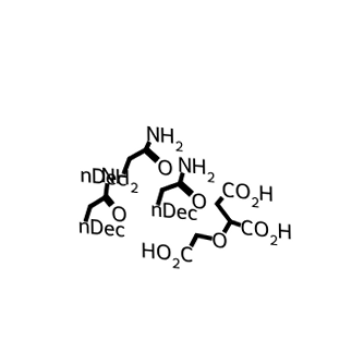 CCCCCCCCCCCC(N)=O.CCCCCCCCCCCC(N)=O.CCCCCCCCCCCC(N)=O.O=C(O)COC(CC(=O)O)C(=O)O